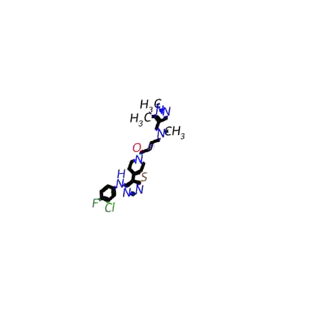 Cc1c(CN(C)C/C=C/C(=O)N2CCc3c(sc4ncnc(Nc5ccc(F)c(Cl)c5)c34)C2)cnn1C